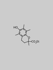 CCOC(=O)C1(C)CCc2c(C)c(O)c(C)c(C)c2O1